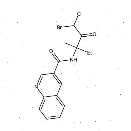 CCC(C)(NC(=O)c1cnc2ccccc2c1)C(=O)C(Cl)Br